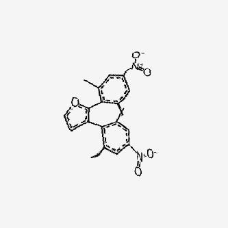 Cc1cc([N+](=O)[O-])cc(C)c1-c1ccoc1-c1c(C)cc([N+](=O)[O-])cc1C